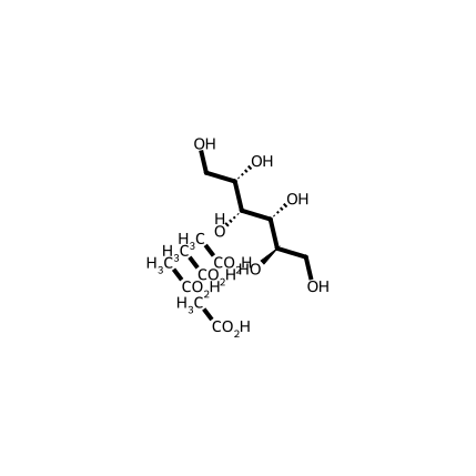 CC(=O)O.CC(=O)O.CC(=O)O.CC(=O)O.OC[C@@H](O)[C@@H](O)[C@H](O)[C@@H](O)CO